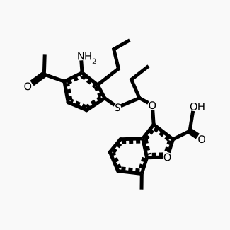 CCCc1c(SC(CC)Oc2c(C(=O)O)oc3c(C)cccc23)ccc(C(C)=O)c1N